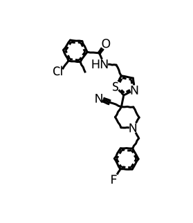 Cc1c(Cl)cccc1C(=O)NCc1cnc(C2(C#N)CCN(Cc3ccc(F)cc3)CC2)s1